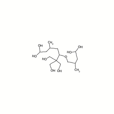 CC(COC(CC(C)CC(O)O)C(CO)(CO)CO)CC(O)O